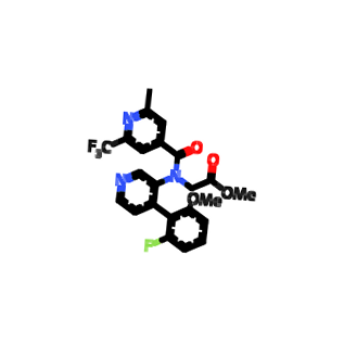 COC(=O)CN(C(=O)c1cc(C)nc(C(F)(F)F)c1)c1cnccc1-c1c(F)cccc1OC